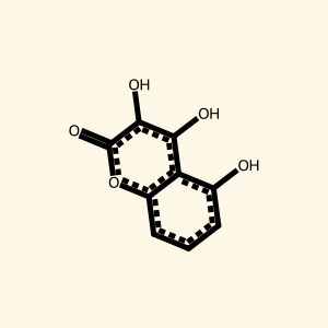 O=c1oc2cccc(O)c2c(O)c1O